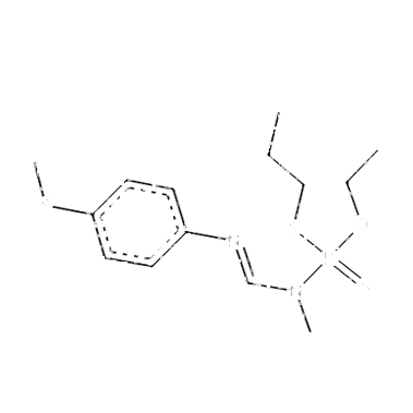 CCCSP(=S)(OCC)N(C)C=Nc1ccc(SC)cc1